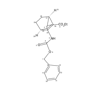 CCOC(=O)C1C(NC(=O)OCc2ccccc2)[C@H]2C=C[C@@H]1CC2